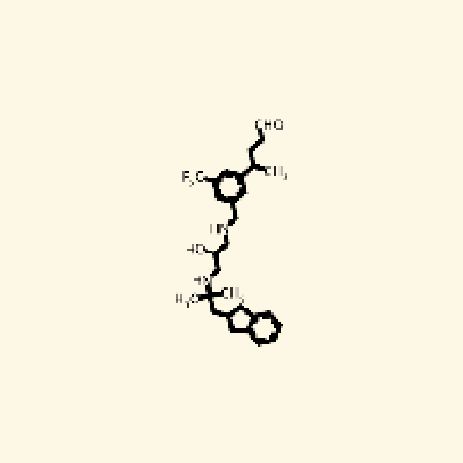 CC(CCC=O)c1cc(CNC[C@H](O)CNC(C)(C)CC2Cc3ccccc3C2)cc(C(F)(F)F)c1